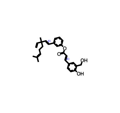 C=CC(C)(/C=C/c1cccc(OC(=O)/C=C/c2ccc(O)c(CO)c2)c1)CCC=C(C)C